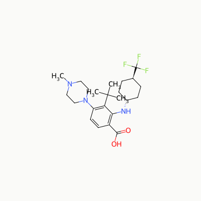 CN1CCN(c2ccc(C(=O)O)c(N[C@H]3CC[C@H](C(F)(F)F)CC3)c2C(C)(C)C)CC1